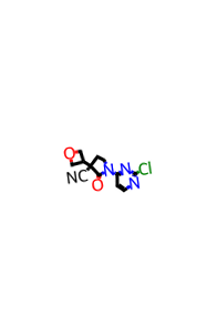 N#CC1(C2COC2)CCN(c2ccnc(Cl)n2)C1=O